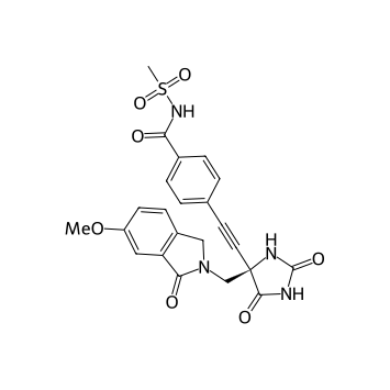 COc1ccc2c(c1)C(=O)N(C[C@@]1(C#Cc3ccc(C(=O)NS(C)(=O)=O)cc3)NC(=O)NC1=O)C2